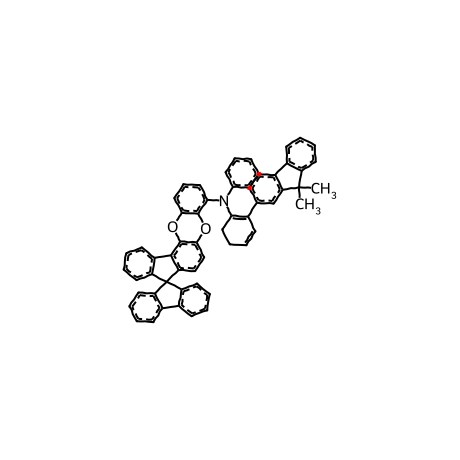 CC1(C)c2ccccc2-c2ccc(C3=C(N(c4ccccc4)c4cccc5c4Oc4ccc6c(c4O5)-c4ccccc4C64c5ccccc5-c5ccccc54)CCC=C3)cc21